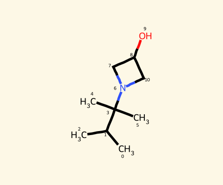 CC(C)C(C)(C)N1CC(O)C1